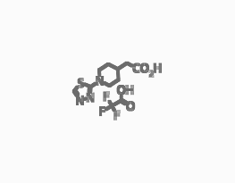 O=C(O)C(F)(F)F.O=C(O)CC1CCN(c2nncs2)CC1